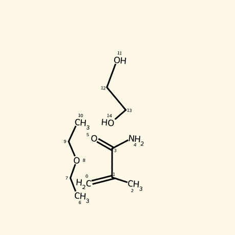 C=C(C)C(N)=O.CCOCC.OCCO